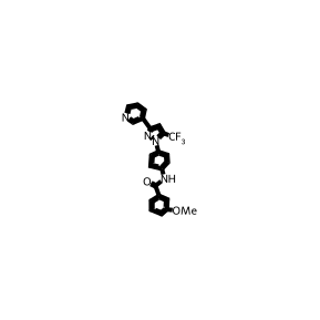 COc1cccc(C(=O)Nc2ccc(-n3nc(-c4cccnc4)cc3C(F)(F)F)cc2)c1